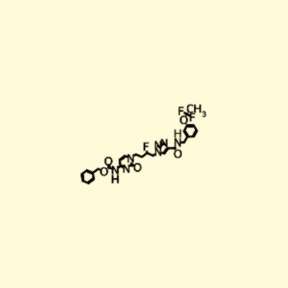 CC(F)(F)Oc1cccc(CNC(=O)c2cn(CC(F)CCn3ccc(NC(=O)OCc4ccccc4)nc3=O)nn2)c1